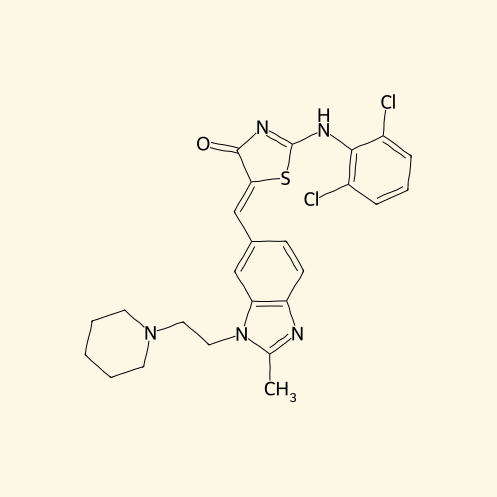 Cc1nc2ccc(/C=C3\SC(Nc4c(Cl)cccc4Cl)=NC3=O)cc2n1CCN1CCCCC1